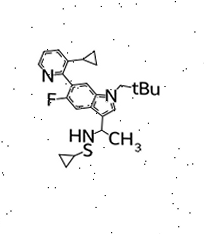 CC(NSC1CC1)c1cn(CC(C)(C)C)c2cc(-c3ncccc3C3CC3)c(F)cc12